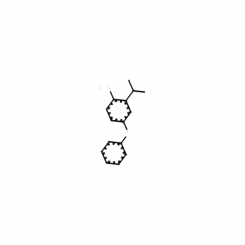 CC(C)c1cc(Nc2ccccc2)ccc1N